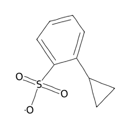 [O]S(=O)(=O)c1ccccc1C1CC1